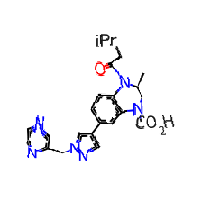 CC(C)CC(=O)N1c2ccc(-c3cnn(Cc4cnccn4)c3)cc2N(C(=O)O)C[C@@H]1C